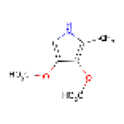 Cc1[nH]cc(OC(=O)O)c1OC(=O)O